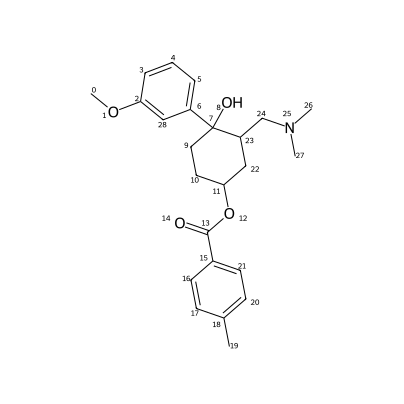 COc1cccc(C2(O)CCC(OC(=O)c3ccc(C)cc3)CC2CN(C)C)c1